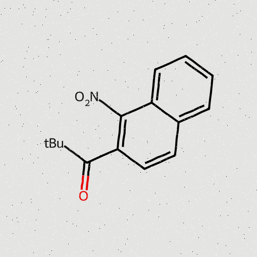 CC(C)(C)C(=O)c1ccc2ccccc2c1[N+](=O)[O-]